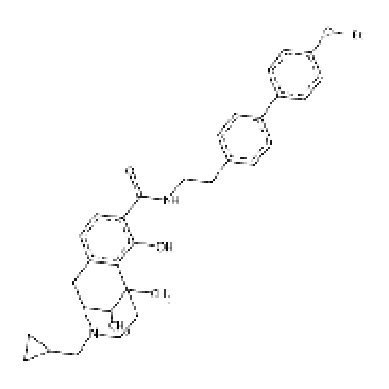 CCOc1ccc(-c2ccc(CCNC(=O)c3ccc4c(c3O)C3(C)CCN(CC5CC5)C(C4)C3C)cc2)cc1